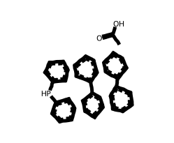 CC(=O)O.c1ccc(-c2ccccc2)cc1.c1ccc(-c2ccccc2)cc1.c1ccc(Pc2ccccc2)cc1